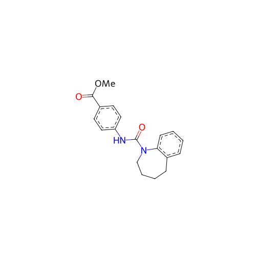 COC(=O)c1ccc(NC(=O)N2CCCCc3ccccc32)cc1